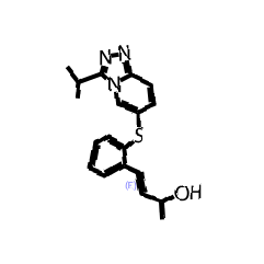 CC(O)/C=C/c1ccccc1Sc1ccc2nnc(C(C)C)n2c1